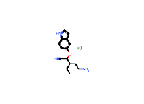 CCC(CCN)C(C#N)Oc1ccc2[nH]ccc2c1.Cl